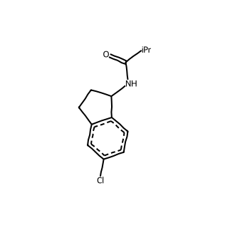 CC(C)C(=O)NC1CCc2cc(Cl)ccc21